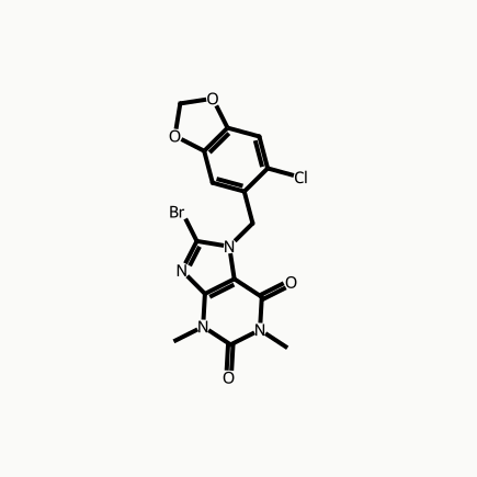 Cn1c(=O)c2c(nc(Br)n2Cc2cc3c(cc2Cl)OCO3)n(C)c1=O